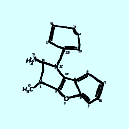 CN1c2oc3ccccc3c2N(c2ccccc2)C1N